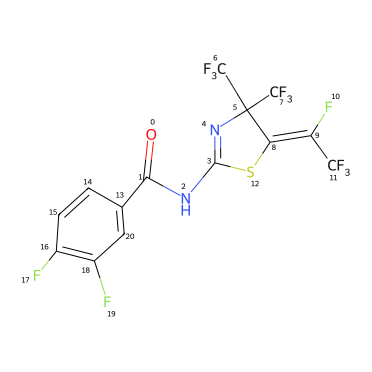 O=C(NC1=NC(C(F)(F)F)(C(F)(F)F)C(=C(F)C(F)(F)F)S1)c1ccc(F)c(F)c1